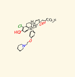 C[C@]12C[C@H](c3ccc(OCCN4CCCCC4)cc3)[C@@H]3c4ccc(O)c(Cl)c4CC[C@H]3[C@@H]1CC[C@@]2(O)CCC(=O)O